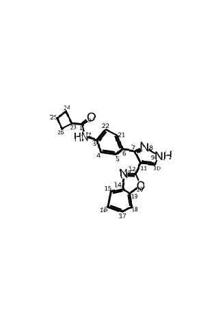 O=C(Nc1ccc(-c2n[nH]cc2-c2nc3ccccc3o2)cc1)C1CCC1